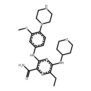 CCc1nc(C(N)=O)c(Nc2ccc(N3CCNCC3)c(OC)c2)nc1NC1CCOCC1